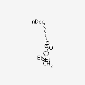 [CH2]CCCCCCCCCCCCCCCCCOOC(=O)c1ccc([Si](C=C)(CC)CC)cc1